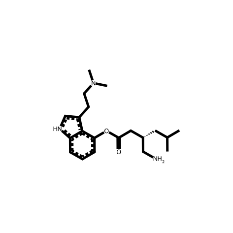 CC(C)C[C@H](CN)CC(=O)Oc1cccc2[nH]cc(CCN(C)C)c12